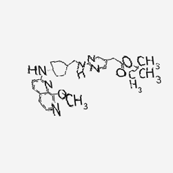 COc1nccc2ccc(N[C@H]3CC[C@H](CNc4ncc(CC(=O)OC(C)(C)C)cn4)CC3)nc12